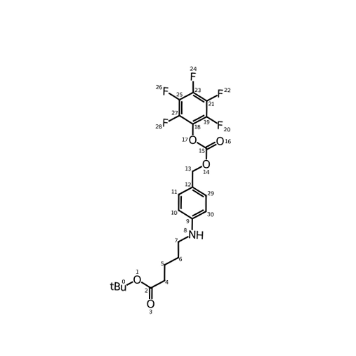 CC(C)(C)OC(=O)CCCCNc1ccc(COC(=O)Oc2c(F)c(F)c(F)c(F)c2F)cc1